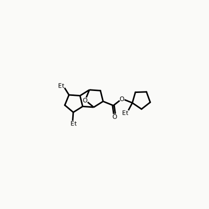 CCC1CC(CC)C2C3OC(CC3C(=O)OC3(CC)CCCC3)C12